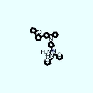 N/C(=N\C(NCc1ccccc1)c1ccccc1)c1ccc(-n2c3ccccc3c3ccc(-c4cccc5c4oc4ccccc45)cc32)cc1